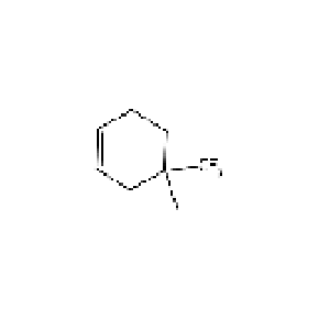 CC1(C(F)(F)F)CC=CCC1